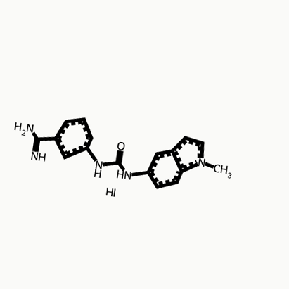 Cn1ccc2cc(NC(=O)Nc3cccc(C(=N)N)c3)ccc21.I